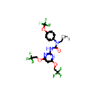 CCN(C(=O)Nc1nc(OCC(F)(F)F)cc(OCC(F)(F)F)n1)c1ccc(OC(F)(F)F)cc1